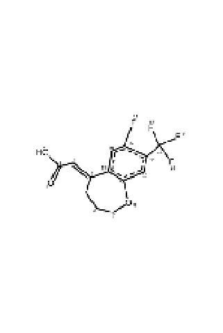 O=C(O)/C=C1\CCCOc2cc(C(F)(F)F)c(F)cc21